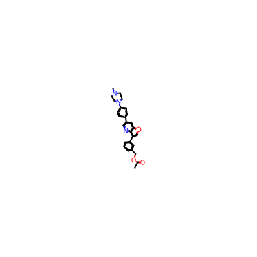 CC(=O)OCc1cccc(-c2coc3cc(-c4ccc(N5CCN(C)CC5)cc4)cnc23)c1